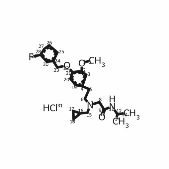 COc1cc(CCN(CC(=O)NC(C)C)CC2CC2)ccc1OCc1cccc(F)c1.Cl